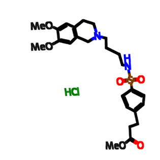 COC(=O)CCc1ccc(S(=O)(=O)NCCCCN2CCc3cc(OC)c(OC)cc3C2)cc1.Cl